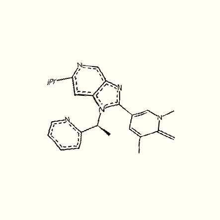 C=C1C(C)=CC(c2nc3cnc(C(C)C)cc3n2[C@@H](C)c2ccccn2)=CN1C